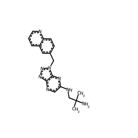 CC(C)(N)CNc1cnc2nnn(Cc3ccc4ncccc4c3)c2n1